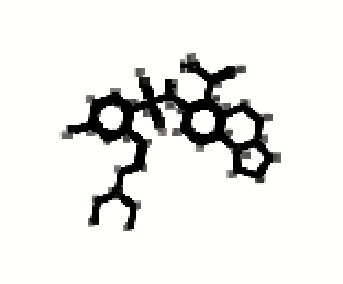 CCN(CC)C/C=C\c1cc(F)ccc1S(=O)(=O)Nc1ccc2c(c1C(=O)O)CCC1CCCN21